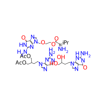 CC(=O)OCC(CCn1cnc2cnc(N)nc21)COC(C)=O.CC(C)[C@H](N)C(=O)OCCOCn1cnc2c(=O)[nH]c(N)nc21.Nc1nc(=O)c2ncn(CCC(CO)CO)c2[nH]1